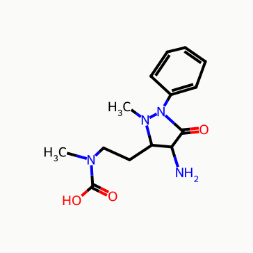 CN(CCC1C(N)C(=O)N(c2ccccc2)N1C)C(=O)O